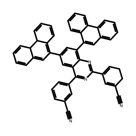 N#CC1=CC(c2nc(-c3cccc(C#N)c3)c3cc(C4=C5C=CC=CC5C5C=CC=CC5=C4)cc(-c4cc5ccccc5c5ccccc45)c3n2)=CCC1